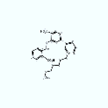 CCCCCCCCCCCCCCCC[n+]1ccccc1.O=C(O)c1ccccc1SSc1ccccc1C(=O)O